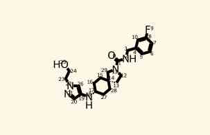 O=C(NCc1cccc(F)c1)N1CC[C@]2(CC[C@@H](Nc3cnn(CCO)c3)CC2)C1